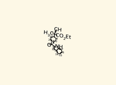 C#CC(C)(C(=O)OCC)C1CCN(C(=O)c2cc3ccccc3[nH]2)CC1